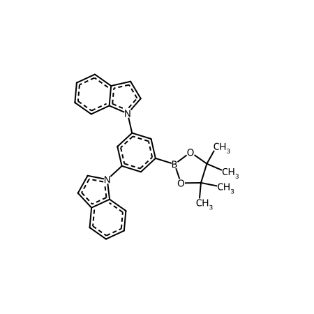 CC1(C)OB(c2cc(-n3ccc4ccccc43)cc(-n3ccc4ccccc43)c2)OC1(C)C